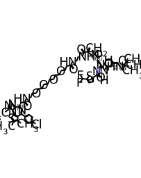 C=C(CN1CCC[C@@H]1Cn1/c(=N/C(=O)c2ccc(C(F)F)s2)[nH]c2cc(CN[C@@H](C)C(C)(C)C)ccc21)C(=O)NCCNC(=O)CCOCCOCCOCCOCCNC(=O)C[C@H]1N=C(c2ccc(Cl)cc2)c2c(sc(C)c2C)-n2c(C)nnc21